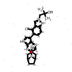 CC(C)(O)Cn1cc2c(Cl)c(-c3c[nH]c4nc(N5C6CCC5CC(N)C6)cnc34)ccc2n1